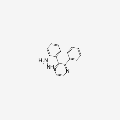 NN.c1ccc(-c2cccnc2-c2ccccc2)cc1